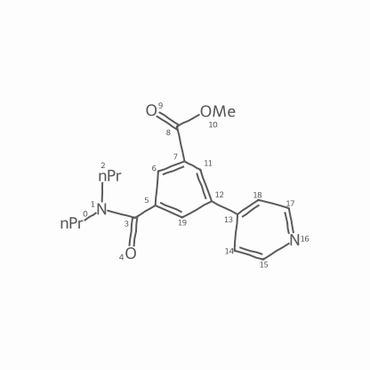 CCCN(CCC)C(=O)c1cc(C(=O)OC)cc(-c2ccncc2)c1